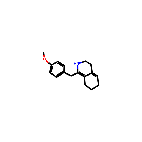 COc1ccc(CC2=C3CCCC=C3CCN2)cc1